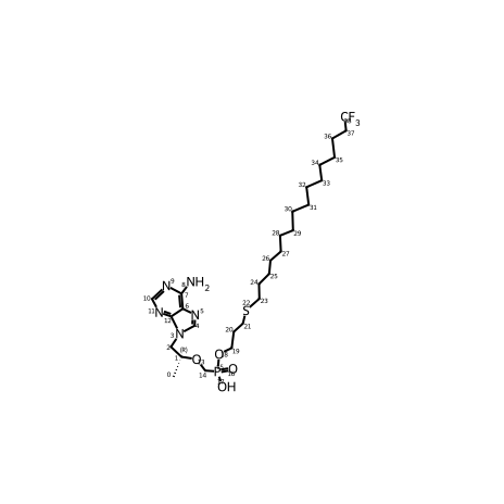 C[C@H](Cn1cnc2c(N)ncnc21)OCP(=O)(O)OCCCSCCCCCCCCCCCCCCCC(F)(F)F